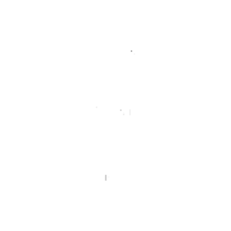 CC(C)(C)c1ccc(C(=O)Nc2ccc(C#N)cc2)cc1